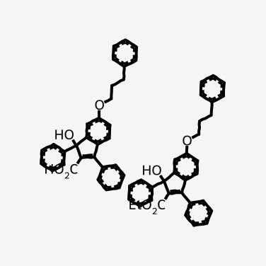 CCOC(=O)C1=C(c2ccccc2)c2ccc(OCCCc3ccccc3)cc2C1(O)c1ccccc1.O=C(O)C1=C(c2ccccc2)c2ccc(OCCCc3ccccc3)cc2C1(O)c1ccccc1